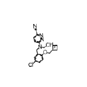 CCN(Cc1cc(Cl)ccc1OCC1CCC1)c1ccc(C#N)nn1